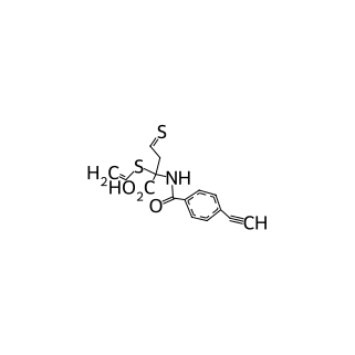 C#Cc1ccc(C(=O)NC(CC=S)(SC=C)C(=O)O)cc1